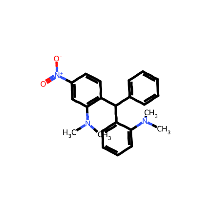 CN(C)c1ccccc1C(c1ccccc1)c1ccc([N+](=O)[O-])cc1N(C)C